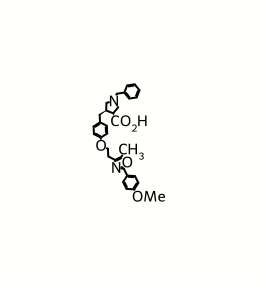 COc1ccc(-c2nc(CCOc3ccc(C[C@H]4CN(Cc5ccccc5)C[C@@H]4C(=O)O)cc3)c(C)o2)cc1